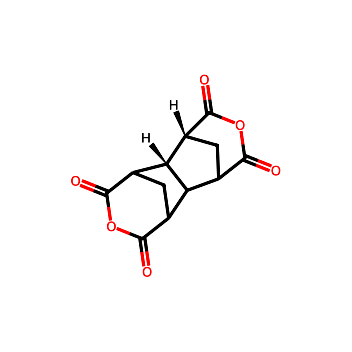 O=C1OC(=O)C2CC1C1C3C[C@@H](C(=O)OC3=O)[C@@H]21